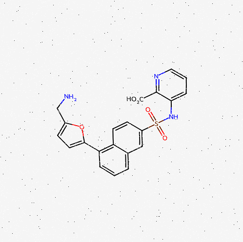 NCc1ccc(-c2cccc3cc(S(=O)(=O)Nc4cccnc4C(=O)O)ccc23)o1